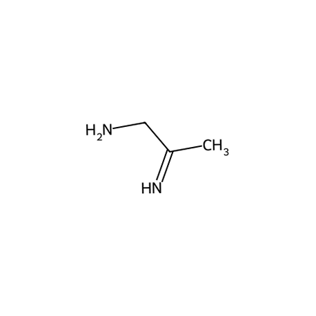 CC(=N)CN